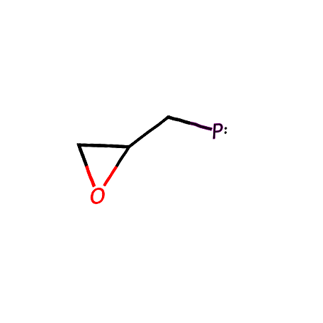 [P]CC1CO1